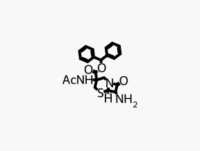 CC(=O)NC1(C(=O)OC(c2ccccc2)c2ccccc2)CS[C@@H]2C(N)C(=O)N2C1